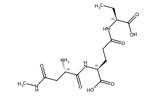 CC[C@H](NC(=O)CC[C@H](NC(=O)[C@@H](N)CC(=O)NC)C(=O)O)C(=O)O